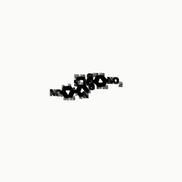 N#Cc1ccc(-c2cncc3c2SCCN3S(=O)(=O)c2ccc([N+](=O)[O-])cc2)cc1